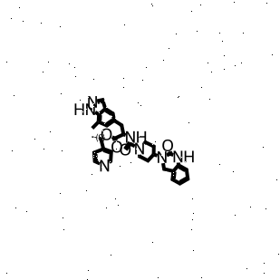 Cc1cc(CC(NC(=O)N2CCC(N3Cc4ccccc4NC3=O)CC2)C(=O)O[C@@H](C)c2ccncc2)cc2cn[nH]c12